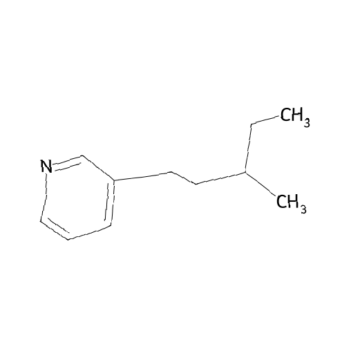 CCC(C)CCc1cccnc1